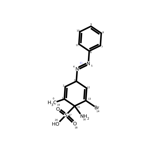 CC1=CC(/N=N/c2ccccc2)C=C(Br)C1(N)S(=O)(=O)O